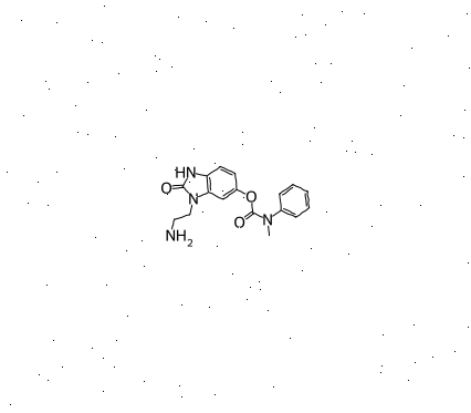 CN(C(=O)Oc1ccc2[nH]c(=O)n(CCN)c2c1)c1ccccc1